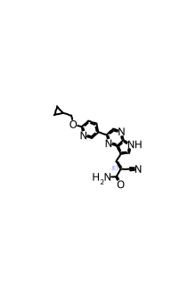 N#C/C(=C\c1c[nH]c2ncc(-c3ccc(OCC4CC4)nc3)nc12)C(N)=O